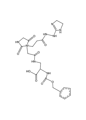 O=C(C[N+]1(CCC(=O)NNC2=NCCN2)C(=O)CNC1=O)NCC(NC(=O)OCc1ccccc1)C(=O)O